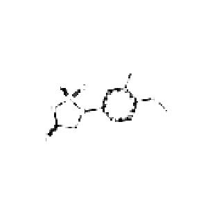 COc1ccc(N2CC(=O)NS2(=O)=O)cc1I